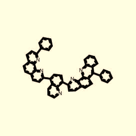 c1ccc(-c2ccc3ccc4ccc(-c5ccc(-c6ccc7ccc8c(-c9ccccc9)c9ccccc9nc8c7n6)c6ncccc56)nc4c3n2)cc1